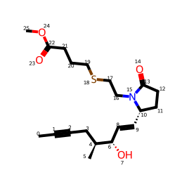 CC#CC[C@H](C)[C@@H](O)C=C[C@H]1CCC(=O)N1CCSCCCC(=O)OC